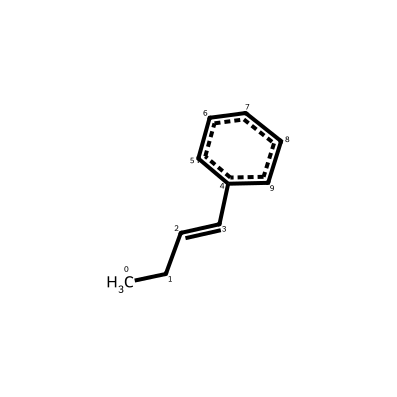 CCC=Cc1[c]cccc1